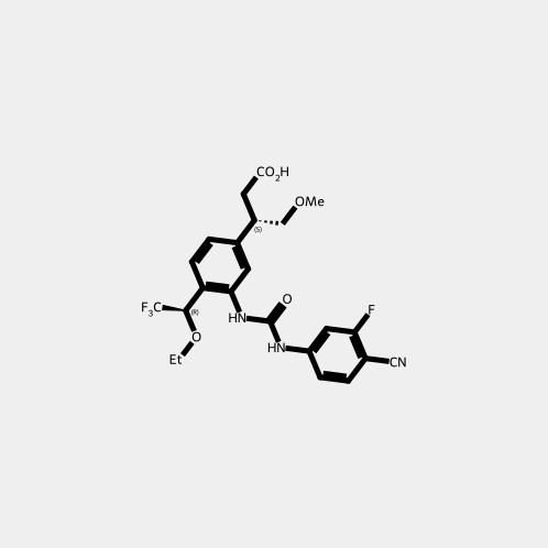 CCO[C@H](c1ccc([C@@H](COC)CC(=O)O)cc1NC(=O)Nc1ccc(C#N)c(F)c1)C(F)(F)F